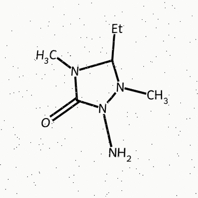 CCC1N(C)C(=O)N(N)N1C